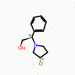 OC[C@@H](c1ccccc1)N1CC[C@H](Cl)C1